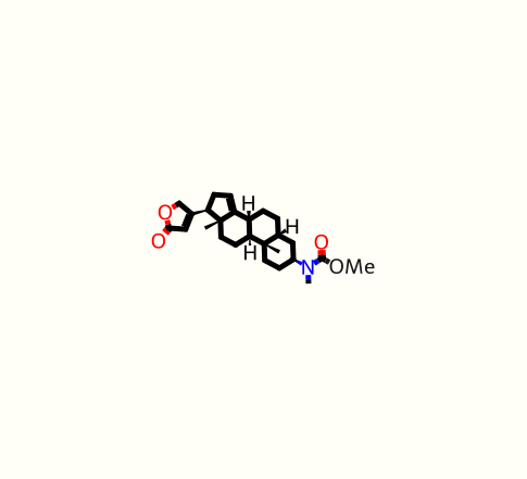 COC(=O)N(C)[C@H]1CC[C@@]2(C)[C@H](CC[C@H]3C4=CC[C@H](C5=CC(=O)OC5)[C@@]4(C)CC[C@@H]32)C1